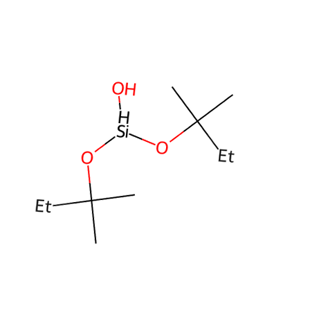 CCC(C)(C)O[SiH](O)OC(C)(C)CC